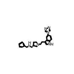 c1ccc(CNC[C@H]2CCN(CCc3c[nH]c4ccc(-n5cnnc5)cc34)C2)cc1